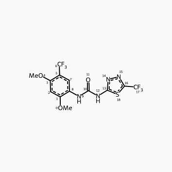 COc1cc(OC)c(C(F)(F)F)cc1NC(=O)Nc1nnc(C(F)(F)F)s1